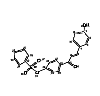 O=C(C=Cc1ccc(O)cc1)c1ccc(OS(=O)(=O)c2ccccc2)cc1